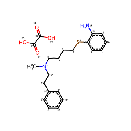 CN(CCCCSc1ccccc1N)CCc1ccccc1.O=C(O)C(=O)O